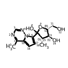 Cc1ncnn2c(C3(O)O[C@H](CO)[C@@H](O)[C@@H]3C)ccc12